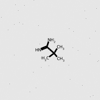 [CH2]C(C)(C)C(=N)N